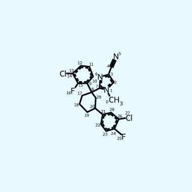 Cn1cc(C#N)nc1C1(c2cccc(Cl)c2F)CCCC(c2ccc(F)c(Cl)c2)C1